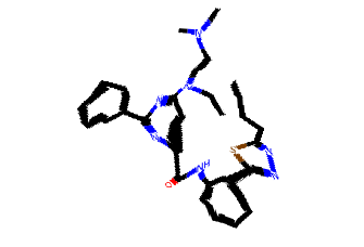 CCCCc1nnc(-c2ccccc2NC(=O)c2cc(N(CC)CCN(C)C)nc(-c3ccccc3)n2)s1